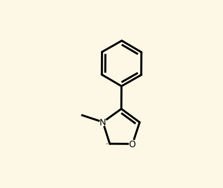 CN1[CH]OC=C1c1ccccc1